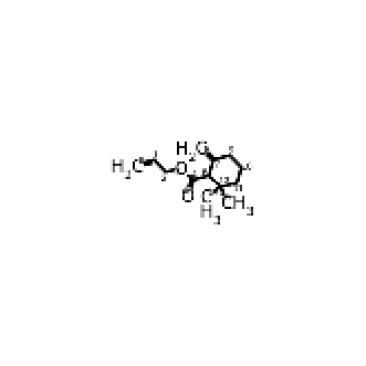 C=CCOC(=O)C1C(=C)CCCC1(C)C